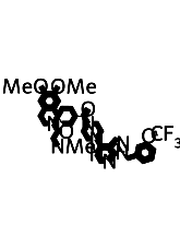 CNCC(=O)N1CCc2cc(OC)c(OC)cc2[C@]12CC[C@@H](C(=O)N1CCN(c3ncnc4c3cnn4Cc3cccc(OC(F)(F)F)c3)CC1)CC2